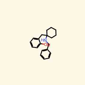 Oc1ccccc1CC1(NCc2ccccc2)CCCCC1